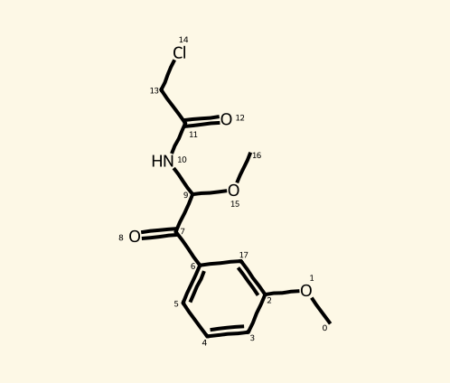 COc1cccc(C(=O)C(NC(=O)CCl)OC)c1